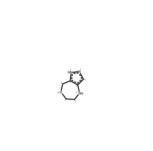 c1n[nH]c2c1NCCOC2